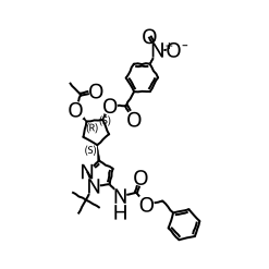 CC(=O)O[C@@H]1C[C@H](c2cc(NC(=O)OCc3ccccc3)n(C(C)(C)C)n2)C[C@@H]1OC(=O)c1ccc([N+](=O)[O-])cc1